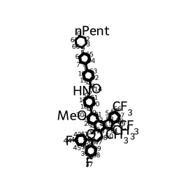 CCCCC[C@H]1CC[C@H](c2ccc(-c3ccc(C(=O)Nc4ccc(-c5cc6c7c(c8c(c6cc5OC)OC(c5ccc(F)cc5)(c5ccc(F)cc5)C=C8)C(C)(C)c5c-7cc(C(F)(F)F)cc5C(F)(F)F)cc4)cc3)cc2)CC1